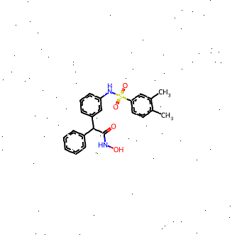 Cc1ccc(S(=O)(=O)Nc2cccc(C(C(=O)NO)c3ccccc3)c2)cc1C